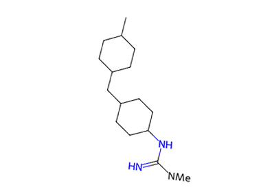 CNC(=N)NC1CCC(CC2CCC(C)CC2)CC1